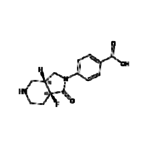 O=C(O)c1ccc(N2C[C@H]3CNCC[C@@]3(F)C2=O)cc1